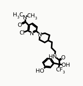 CN(C)C(=O)c1ccc(N2CCC(CCCNC(=O)C(O)(c3cccc(O)c3)C(F)(F)F)CC2)nc1Cl